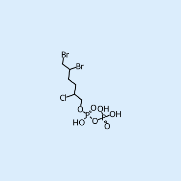 O=P(O)(O)OP(=O)(O)OCC(Cl)CCC(Br)CBr